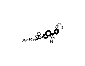 CC(=O)NCC1CN(c2ccc3c(c2)CCCc2c(-c4cccc(OC(F)(F)F)c4)n[nH]c2-3)C(=O)O1